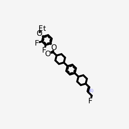 CCOc1ccc(OC(=O)C2CCC(c3ccc(C4CCC(/C=C/CF)CC4)cc3)CC2)c(F)c1F